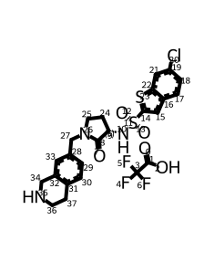 O=C(O)C(F)(F)F.O=C1[C@@H](NS(=O)(=O)c2cc3ccc(Cl)cc3s2)CCN1Cc1ccc2c(c1)CNCC2